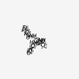 Cc1ccc(S(=O)(=O)N[C@@H](CCCCNC(=O)c2ccc(C(F)(F)F)cn2)C(=O)Nc2ccc(N3CCOCC3)cc2)cc1